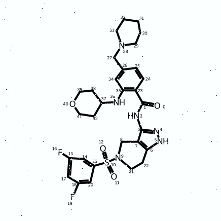 O=C(Nc1n[nH]c2c1CN(S(=O)(=O)c1cc(F)cc(F)c1)CC2)c1ccc(CN2CCCCC2)cc1NC1CCOCC1